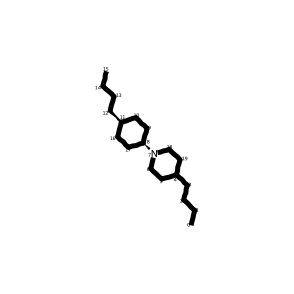 CCCCC1CCN([C@H]2CC[C@H](CCCC)CC2)CC1